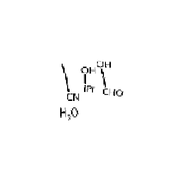 CC#N.CC(C)O.O.O=CO